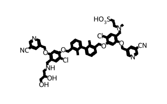 Cc1c(COc2cc(OCc3cncc(C#N)c3)c(CNCC(O)CO)cc2Cl)cccc1-c1cccc(COc2cc(OCc3cncc(C#N)c3)c(CN(C)CCS(=O)(=O)O)cc2Cl)c1C